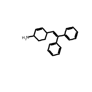 NC1C=CC(C=C(c2ccccc2)c2ccccc2)CC1